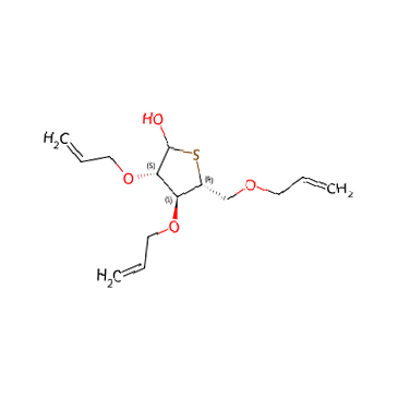 C=CCOC[C@H]1SC(O)[C@@H](OCC=C)[C@@H]1OCC=C